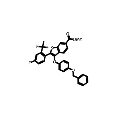 COC(=O)c1ccc2c(Oc3ccc(OCc4ccccc4)cc3)c(-c3ccc(F)cc3C(C)(F)F)sc2c1